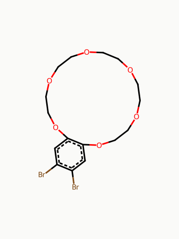 Brc1cc2c(cc1Br)OCCOCCOCCOCCOCCO2